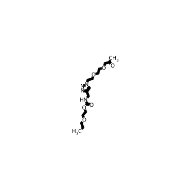 CCCOCCOC(=O)NCc1cn(CCOCCOCC(C)=O)nn1